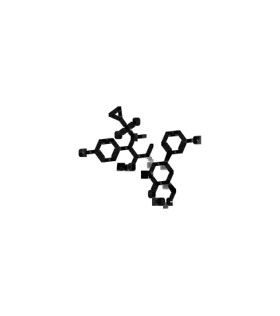 COC(C(C)[C@H]1NC(=O)[C@H](CC(=O)O)C[C@@H]1c1cccc(Cl)c1)C(c1ccc(Cl)cc1)N(C)S(=O)(=O)C1CC1